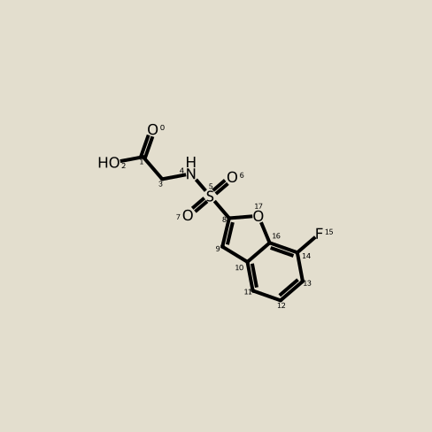 O=C(O)CNS(=O)(=O)c1cc2cccc(F)c2o1